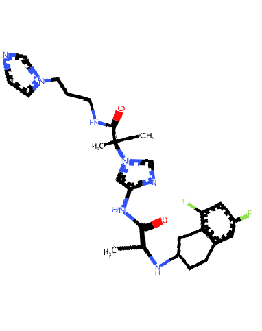 CC(NC1CCc2cc(F)cc(F)c2C1)C(=O)Nc1cn(C(C)(C)C(=O)NCCCn2ccnc2)cn1